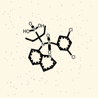 CCC(CC)(N(c1cccc2cccnc12)S(=O)(=O)c1cc(Cl)cc(Cl)c1)P(=O)(O)O